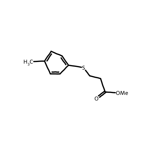 COC(=O)CCSc1ccc(C)cc1